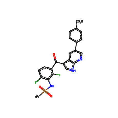 CCCS(=O)(=O)Nc1c(F)ccc(C(=O)c2c[nH]c3ncc(-c4ccc(C(=O)O)cc4)cc23)c1F